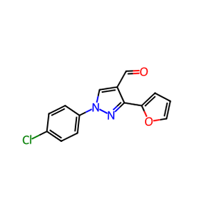 O=Cc1cn(-c2ccc(Cl)cc2)nc1-c1ccco1